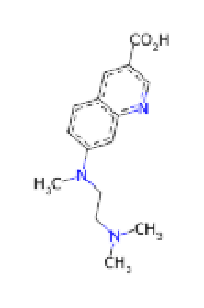 CN(C)CCN(C)c1ccc2cc(C(=O)O)cnc2c1